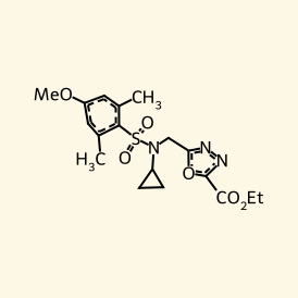 CCOC(=O)c1nnc(CN(C2CC2)S(=O)(=O)c2c(C)cc(OC)cc2C)o1